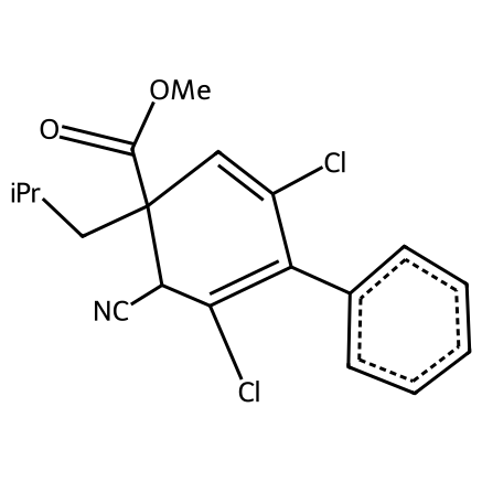 COC(=O)C1(CC(C)C)C=C(Cl)C(c2ccccc2)=C(Cl)C1C#N